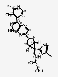 Cc1csc(C2(CNC(=O)OC(C)(C)C)[C@@H]3CN(c4cnc5c(-c6ccnc(F)c6Cl)n[nH]c5n4)C[C@@H]32)n1